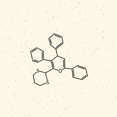 C1=C(c2ccccc2)OC(C2SCCCS2)=C(c2ccccc2)C1c1ccccc1